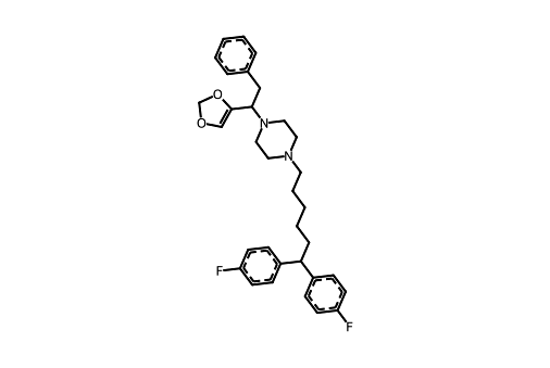 Fc1ccc(C(CCCCCN2CCN(C(Cc3ccccc3)C3=COCO3)CC2)c2ccc(F)cc2)cc1